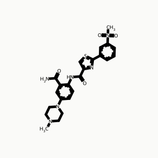 CN1CCN(c2ccc(NC(=O)c3csc(-c4cccc(S(C)(=O)=O)c4)n3)c(C(N)=O)c2)CC1